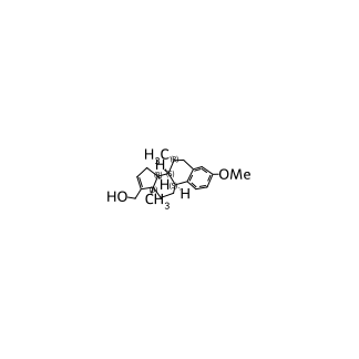 COc1ccc2c(c1)C[C@@H](C)[C@@H]1[C@@H]2CC[C@]2(C)C(CO)=CC[C@H]12